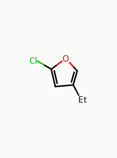 CCc1coc(Cl)c1